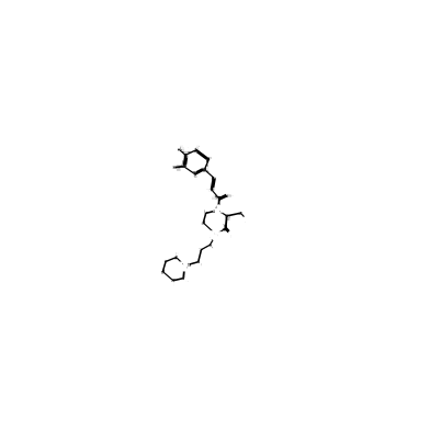 O=C(O)CC1C(=O)N(CCCN2CCCCC2)CCN1C(=O)C=Cc1ccc(Cl)c(Cl)c1